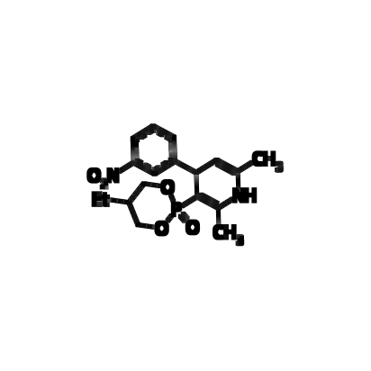 CCC1COP(=O)(C2=C(C)NC(C)=CC2c2cccc([N+](=O)[O-])c2)OC1